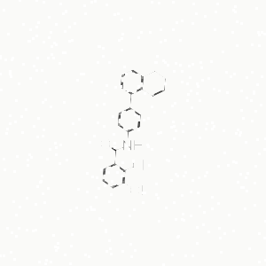 O=C(Nc1ccc(-c2cccc3c2C=CCC3)cc1)c1cccc(O)c1Cl